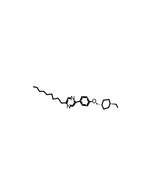 CCCCCCCCCc1cnc(-c2ccc(OC[C@H]3CC[C@H](CC)CC3)cc2)cn1